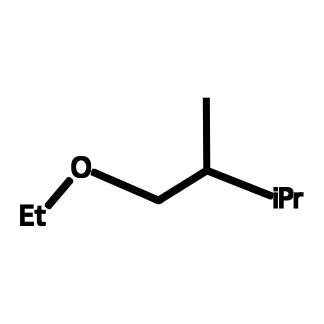 [CH2]COCC(C)C(C)C